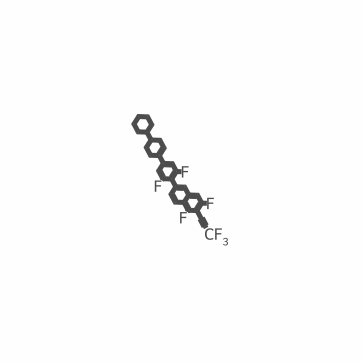 Fc1cc2cc(-c3c(F)cc(C4=CCC(C5CCCCC5)CC4)cc3F)ccc2c(F)c1C#CC(F)(F)F